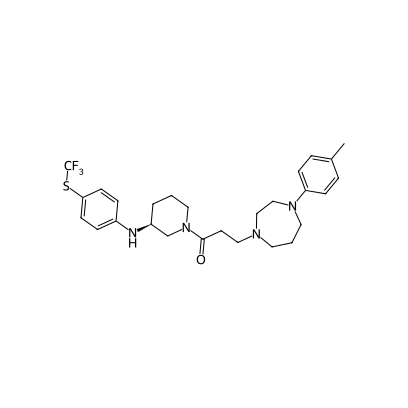 Cc1ccc(N2CCCN(CCC(=O)N3CCC[C@H](Nc4ccc(SC(F)(F)F)cc4)C3)CC2)cc1